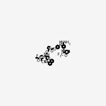 C=C(F)C(=O)N1CCN(c2nc(OCC3CCCN3C(=O)COc3ccc(Nc4cc(-n5nc(C(F)(F)F)c6c5CC(C)(C)CC6=O)ccc4C(N)=O)cc3)nc3c2CCN(c2cccc4cccc(Cl)c24)C3)CC1CC#N